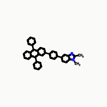 Cc1nc2cc(-c3ccc(-c4ccc5c(-c6ccccc6)c6ccccc6c(-c6ccccc6)c5c4)cc3)ccc2n1C